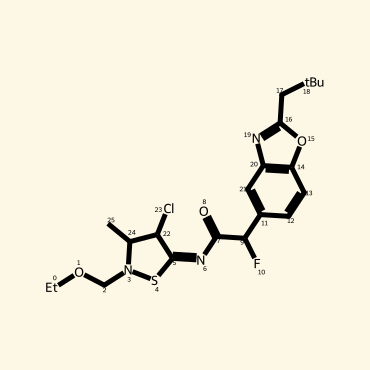 CCOCN1SC(=NC(=O)C(F)c2ccc3oc(CC(C)(C)C)nc3c2)C(Cl)C1C